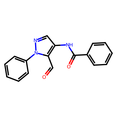 O=Cc1c(NC(=O)c2ccccc2)cnn1-c1ccccc1